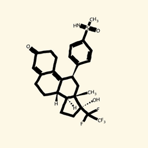 C[C@]12C[C@H](c3ccc(S(C)(=N)=O)cc3)C3=C4CCC(=O)C=C4CC[C@H]3[C@@H]1CC[C@]2(O)C(F)(F)C(F)(F)F